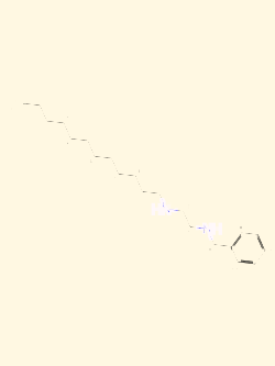 [SiH3]CCCCCCCCCCCNCCNCc1ccccc1